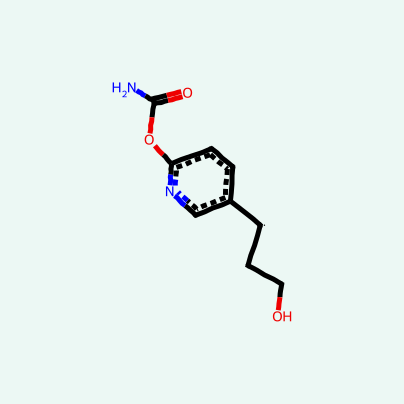 NC(=O)Oc1ccc([CH]CCO)cn1